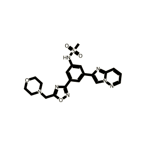 CS(=O)(=O)Nc1cc(-c2cn3ncccc3n2)cc(-c2noc(CN3CCOCC3)n2)c1